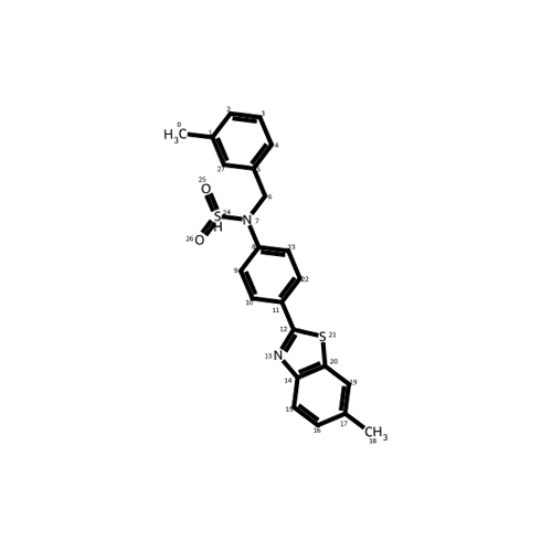 Cc1cccc(CN(c2ccc(-c3nc4ccc(C)cc4s3)cc2)[SH](=O)=O)c1